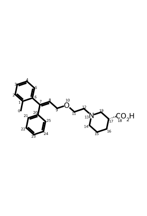 Cc1ccccc1C(=CCOCCN1CCC[C@@H](C(=O)O)C1)c1ccccc1